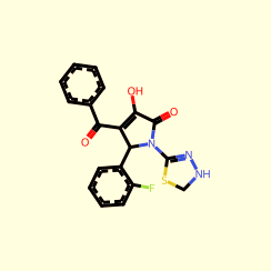 O=C(C1=C(O)C(=O)N(C2=NNCS2)C1c1ccccc1F)c1ccccc1